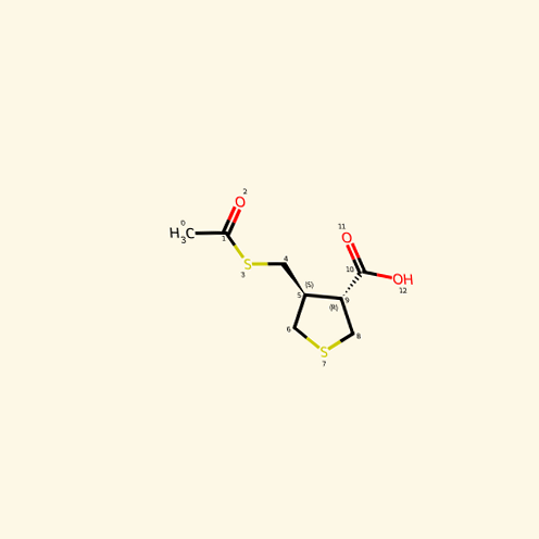 CC(=O)SC[C@@H]1CSC[C@H]1C(=O)O